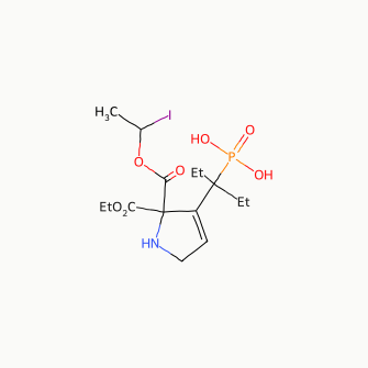 CCOC(=O)C1(C(=O)OC(C)I)NCC=C1C(CC)(CC)P(=O)(O)O